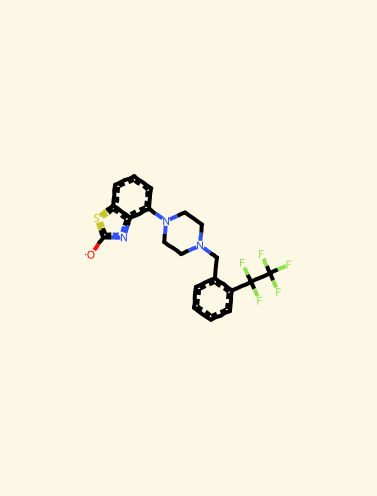 [O]c1nc2c(N3CCN(Cc4ccccc4C(F)(F)C(F)(F)F)CC3)cccc2s1